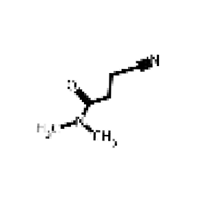 CN(C)C(=O)CCC#N